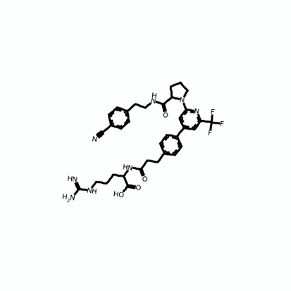 N#Cc1ccc(CCNC(=O)C2CCCN2c2cc(-c3ccc(CCC(=O)NC(CCCNC(=N)N)C(=O)O)cc3)cc(C(F)(F)F)n2)cc1